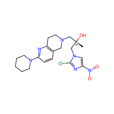 C[C@](O)(CN1CCc2nc(N3CCCCC3)ccc2C1)Cn1cc([N+](=O)[O-])nc1Cl